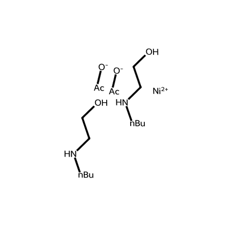 CC(=O)[O-].CC(=O)[O-].CCCCNCCO.CCCCNCCO.[Ni+2]